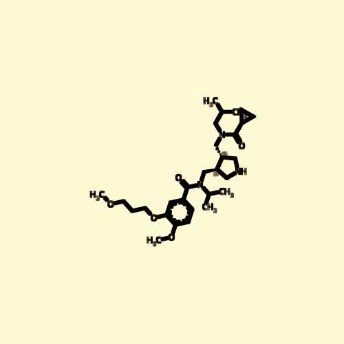 COCCCOc1cc(C(=O)N(C[C@@H]2CNC[C@H]2CN(CC(C)C)C(=O)C2CC2)C(C)C)ccc1OC